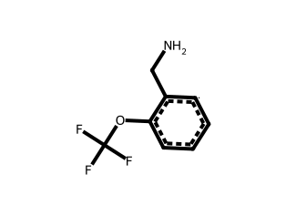 NCc1[c]cccc1OC(F)(F)F